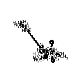 CC(=O)N1CCC[C@H]1C(=O)N[C@@H](CC(C)C)C(=O)NCC(=O)N[C@@H](CCc1ccccc1)C(=O)N[C@@H](Cc1ccc(OC(C)(C)C)cc1)C(=O)N[C@@H](CC(C)C)C(=O)Nc1ccnc(CCCCCCCCCCCC(=O)NCCNC(=O)OC(C)(C)C)c1